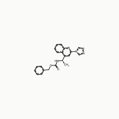 C[C@@H](NC(=O)OCc1ccccc1)c1cc(-n2cnnc2)nc2ccccc12